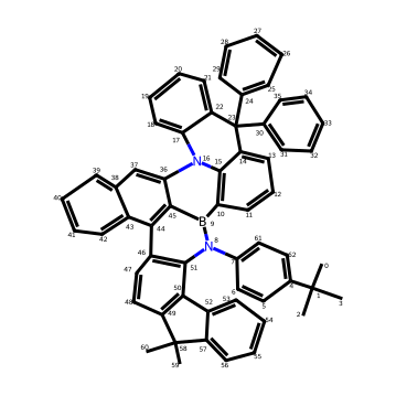 CC(C)(C)c1ccc(N2B3c4cccc5c4N(c4ccccc4C5(c4ccccc4)c4ccccc4)c4cc5ccccc5c(c43)-c3ccc4c(c32)-c2ccccc2C4(C)C)cc1